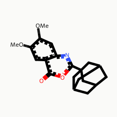 COc1cc2nc(C34CC5CC(CC(C5)C3)C4)oc(=O)c2cc1OC